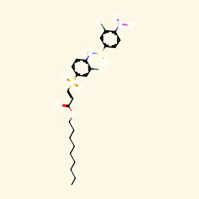 CCCCCCCCCOC(=O)C=CS(=O)(=O)c1ccc(N[S+]([O-])c2ccc([N+](=O)[O-])c(Cl)c2)c(Cl)c1